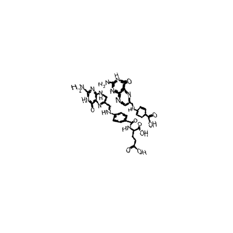 Nc1nc2c(c(=O)[nH]1)N=C(CNc1ccc(C(=O)NC(CCC(=O)O)C(=O)O)cc1)CN2.Nc1nc2ncc(CNC3=CCC(C(=O)O)C=C3)nc2c(=O)[nH]1